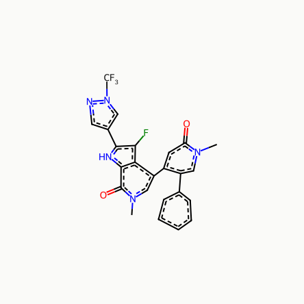 Cn1cc(-c2ccccc2)c(-c2cn(C)c(=O)c3[nH]c(-c4cnn(C(F)(F)F)c4)c(F)c23)cc1=O